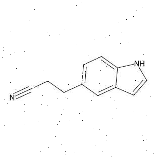 N#CCCc1ccc2[nH]ccc2c1